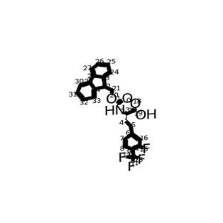 O=C(N[C@@H](CCc1ccc(C(F)(F)F)c(F)c1)C(=O)O)OCC1c2ccccc2-c2ccccc21